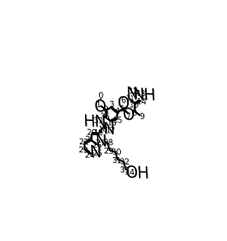 COc1cc(C(=O)OC(C)c2cn[nH]c2)cc2nc(-c3cc4cccnc4n3CCCCCCO)[nH]c12